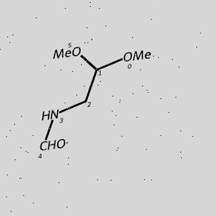 COC(CN[C]=O)OC